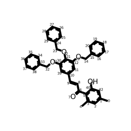 Cc1cc(C)c(C(=O)C=Cc2cc(OCc3ccccc3)c(OCc3ccccc3)c(OCc3ccccc3)c2)c(O)c1